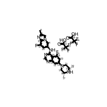 Cc1cn2cc(Nc3ncnc4cc(N5C[C@@H](C)N[C@@H](C)C5)cc(F)c34)cc(F)c2n1.O=C(O)C(F)(F)F.O=C(O)C(F)(F)F